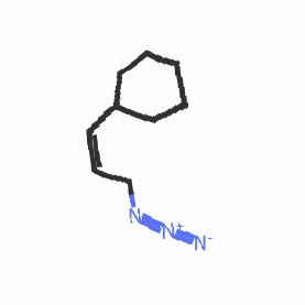 [N-]=[N+]=NC/C=C\C1CCCCC1